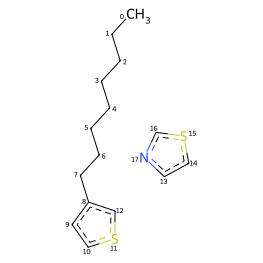 CCCCCCCCc1ccsc1.c1cscn1